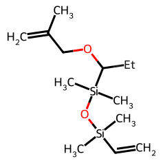 C=C[Si](C)(C)O[Si](C)(C)C(CC)OCC(=C)C